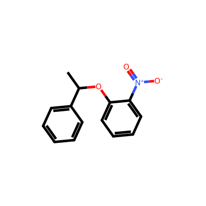 CC(Oc1ccccc1[N+](=O)[O-])c1ccccc1